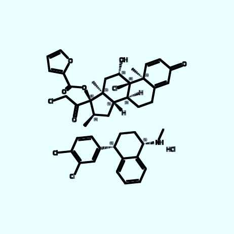 CN[C@H]1CC[C@@H](c2ccc(Cl)c(Cl)c2)c2ccccc21.C[C@@H]1C[C@H]2[C@@H]3CCC4=CC(=O)C=C[C@]4(C)[C@@]3(Cl)[C@@H](O)C[C@]2(C)[C@@]1(OC(=O)c1ccco1)C(=O)CCl.Cl